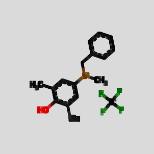 Cc1cc([S+](C)Cc2ccccc2)cc(C(C)(C)C)c1O.F[B-](F)(F)F